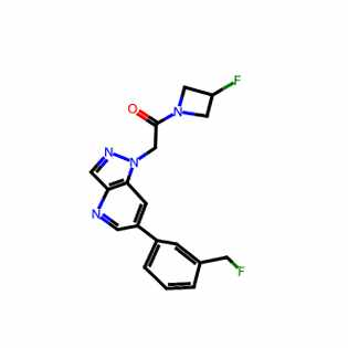 O=C(Cn1ncc2ncc(-c3cccc(CF)c3)cc21)N1CC(F)C1